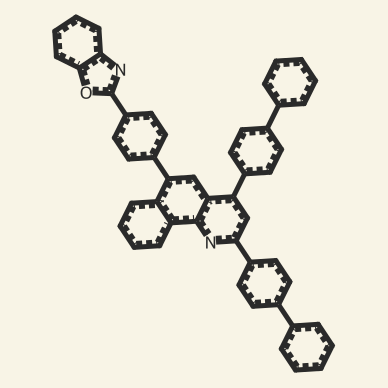 c1ccc(-c2ccc(-c3cc(-c4ccc(-c5ccccc5)cc4)c4cc(-c5ccc(-c6nc7ccccc7o6)cc5)c5ccccc5c4n3)cc2)cc1